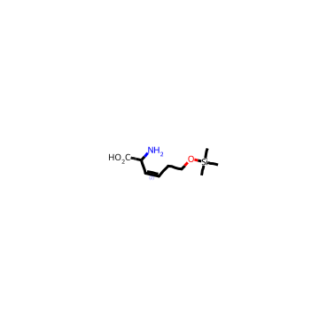 C[Si](C)(C)OCC/C=C\C(N)C(=O)O